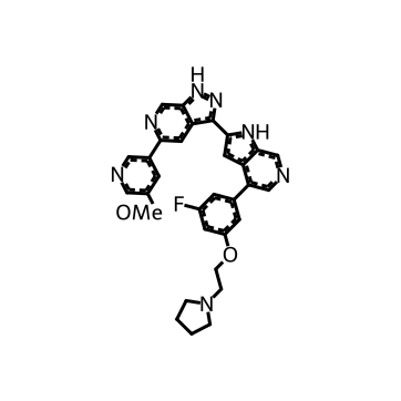 COc1cncc(-c2cc3c(-c4cc5c(-c6cc(F)cc(OCCN7CCCC7)c6)cncc5[nH]4)n[nH]c3cn2)c1